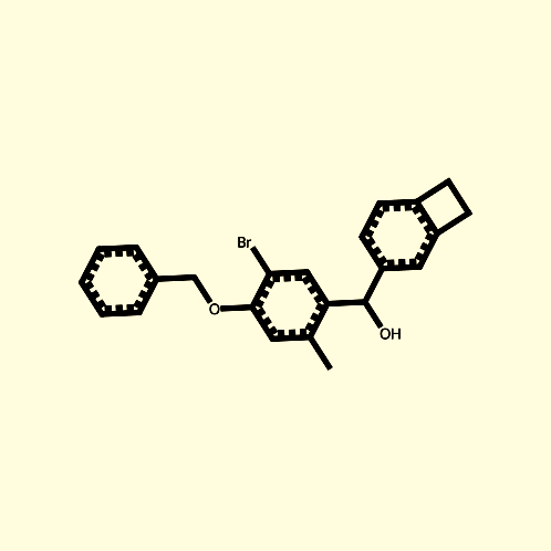 Cc1cc(OCc2ccccc2)c(Br)cc1C(O)c1ccc2c(c1)CC2